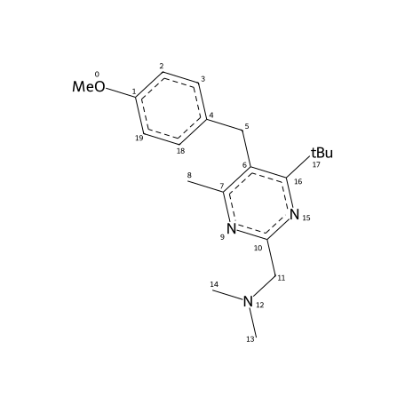 COc1ccc(Cc2c(C)nc(CN(C)C)nc2C(C)(C)C)cc1